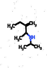 C=C(CC)C(C)NC(C)C